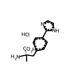 C[C@@](N)(Cc1ccc(-c2ncc[nH]2)cc1)C(=O)O.Cl